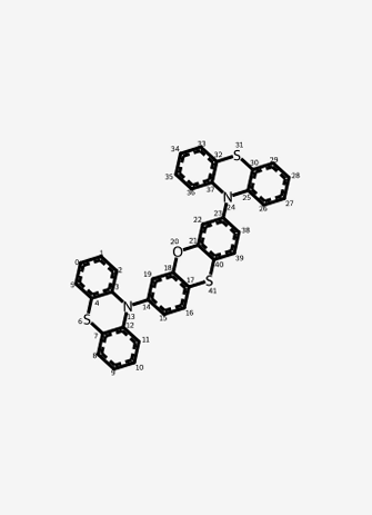 c1ccc2c(c1)Sc1ccccc1N2c1ccc2c(c1)Oc1cc(N3c4ccccc4Sc4ccccc43)ccc1S2